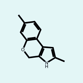 Cc1ccc2c(c1)OCc1[nH]c(C)cc1-2